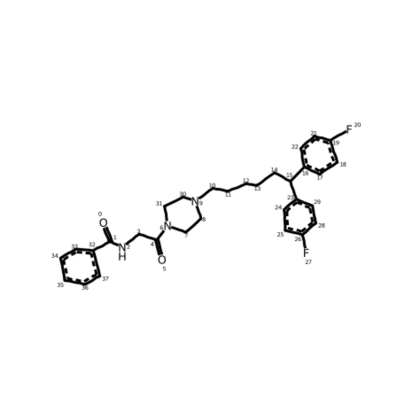 O=C(NCC(=O)N1CCN(CCCCCC(c2ccc(F)cc2)c2ccc(F)cc2)CC1)c1ccccc1